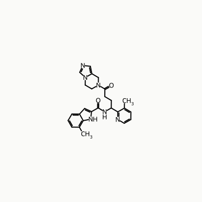 Cc1cccnc1C(CCC(=O)N1CCn2cncc2C1)NC(=O)c1cc2cccc(C)c2[nH]1